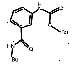 CCC(C)NC(=O)c1cccc(NC(=O)OC(C)(C)C)c1